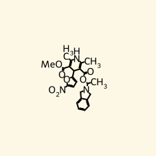 COC(=O)C1=C(C)NC(C)=C(C(=O)OC(C)N2Cc3ccccc3C2)C1c1ccc([N+](=O)[O-])o1